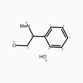 CNC(CCl)c1ccccc1.Cl